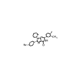 Cc1cc(-c2nc3c(nc(-c4ccc(Br)cc4)n3-c3ccccc3)c(=O)[nH]2)ccc1F